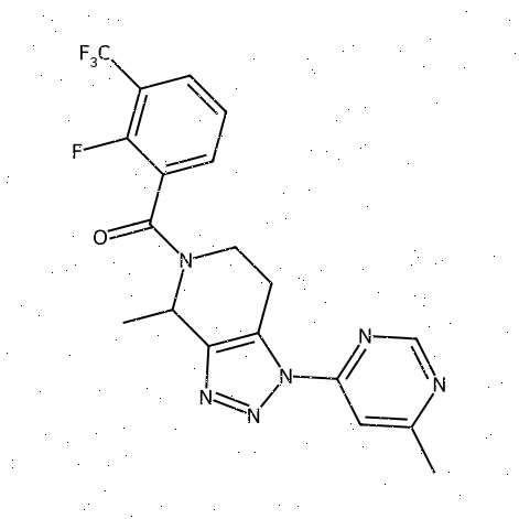 Cc1cc(-n2nnc3c2CCN(C(=O)c2cccc(C(F)(F)F)c2F)C3C)ncn1